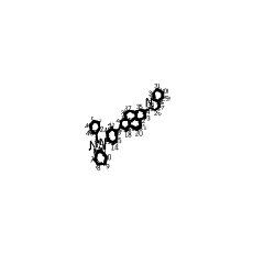 c1ccc(-c2nc3ccccc3n2-c2ccc(-c3cc4ccc5cc(-c6ccc7ccccc7n6)cc6ccc(c3)c4c56)cc2)cc1